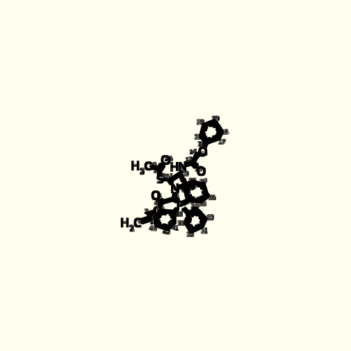 C=CCOC(=O)C(N1C(=O)[C@H](NC(=O)COc2ccccc2)[C@@H]1SC(C)=O)=P(c1ccccc1)(c1ccccc1)c1ccccc1